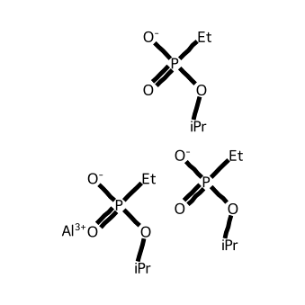 CCP(=O)([O-])OC(C)C.CCP(=O)([O-])OC(C)C.CCP(=O)([O-])OC(C)C.[Al+3]